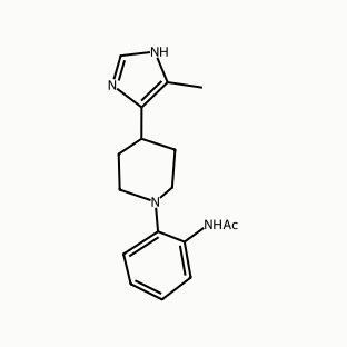 CC(=O)Nc1ccccc1N1CCC(c2nc[nH]c2C)CC1